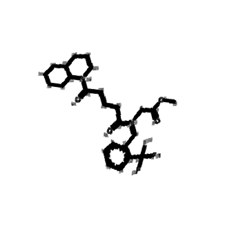 COC(=O)CN(Cc1ccccc1C(F)(F)F)C(=O)CCCC(=O)N1CCCC2CCCCC21